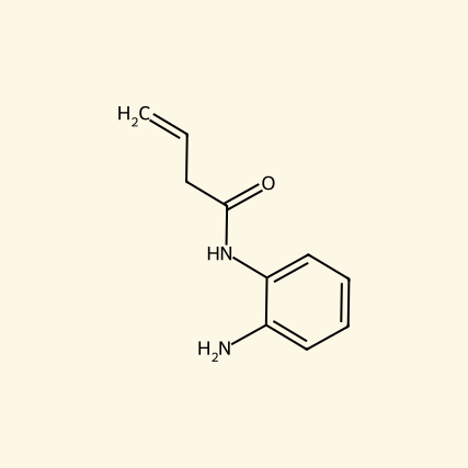 C=CCC(=O)Nc1ccccc1N